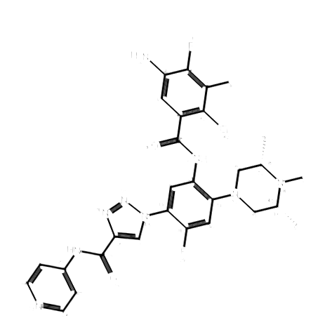 Cc1c(F)c(N)cc(C(=O)Nc2cc(-n3cc(C(=O)Nc4ccncc4)nn3)c(F)cc2N2C[C@@H](C)N(C)[C@@H](C)C2)c1Cl